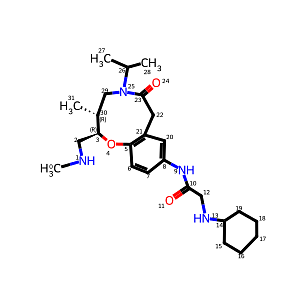 CNC[C@@H]1Oc2ccc(NC(=O)CNC3CCCCC3)cc2CC(=O)N(C(C)C)C[C@H]1C